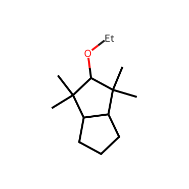 CCOC1C(C)(C)C2CCCC2C1(C)C